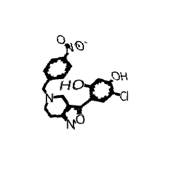 O=[N+]([O-])c1ccc(CN2CCc3noc(-c4cc(Cl)c(O)cc4O)c3C2)cc1